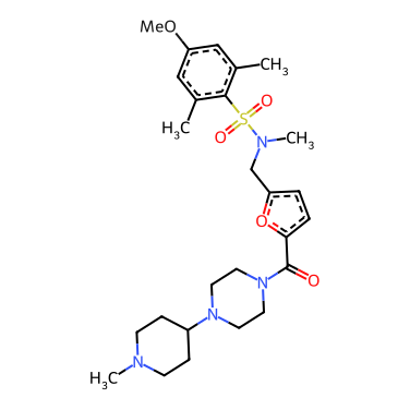 COc1cc(C)c(S(=O)(=O)N(C)Cc2ccc(C(=O)N3CCN(C4CCN(C)CC4)CC3)o2)c(C)c1